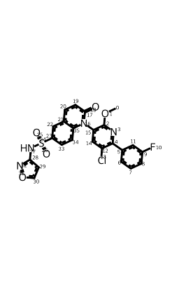 COc1nc(-c2cccc(F)c2)c(Cl)cc1-n1c(=O)ccc2cc(S(=O)(=O)Nc3ccon3)ccc21